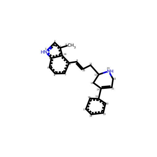 Cc1c[nH]c2cccc(C=CCC3CC(c4ccccc4)=CCN3)c12